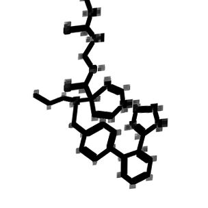 CCCN(Cc1ccc(-c2ccccc2-c2nnn[nH]2)cc1)C1(C(=O)OCNC(=O)NC)C=CNC=N1